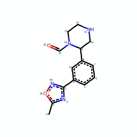 Cc1nc(-c2cccc(C3CNCCN3C=O)c2)no1